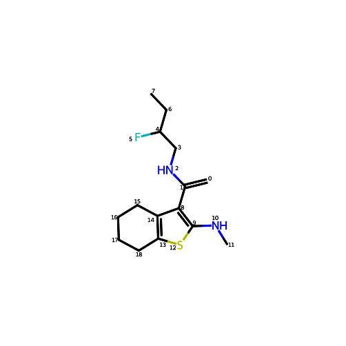 C=C(NCC(F)CC)c1c(NC)sc2c1CCCC2